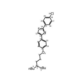 CCCCN(CCCC)CCCOc1ccc(-c2csc(-c3ccc(Cl)cc3)n2)cc1